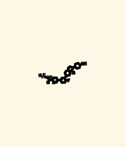 CCNC(=O)c1ccc(-c2ccc(F)c(N3CCC4(CC3)CCN(C3CCC(O)CC3)C4=O)c2)cn1